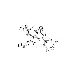 CC(=O)c1cc(C)cn2c(=O)cc(N3CCCCC3)nc12